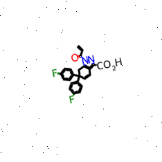 C=CC(=O)n1nc(C(=O)O)c2c1CC(c1ccc(F)cc1)(c1ccc(F)cc1)C=C2